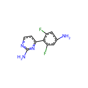 Nc1cc(F)c(-c2ccnc(N)n2)c(F)c1